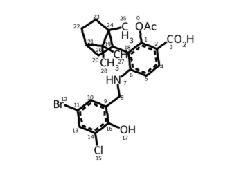 CC(=O)Oc1c(C(=O)O)ccc(NCc2cc(Br)cc(Cl)c2O)c1C1CC2CCC1(C)C2(C)C